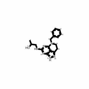 CC(O)CNc1nc2c3c(n[nH]c3n1)CCN2Cc1ccccc1